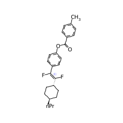 CCC[C@H]1CC[C@H](/C(F)=C(\F)c2ccc(OC(=O)c3ccc(C)cc3)cc2)CC1